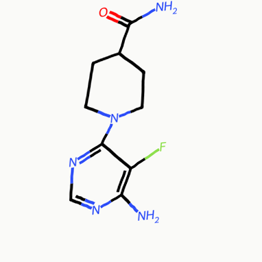 NC(=O)C1CCN(c2ncnc(N)c2F)CC1